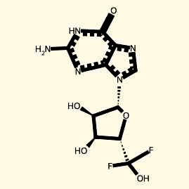 Nc1nc2c(ncn2[C@@H]2O[C@H](C(O)(F)F)[C@@H](O)[C@H]2O)c(=O)[nH]1